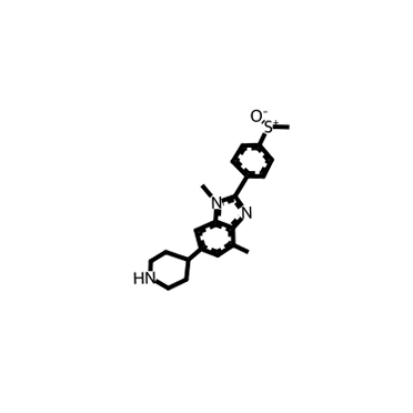 Cc1cc(C2CCNCC2)cc2c1nc(-c1ccc([S+](C)[O-])cc1)n2C